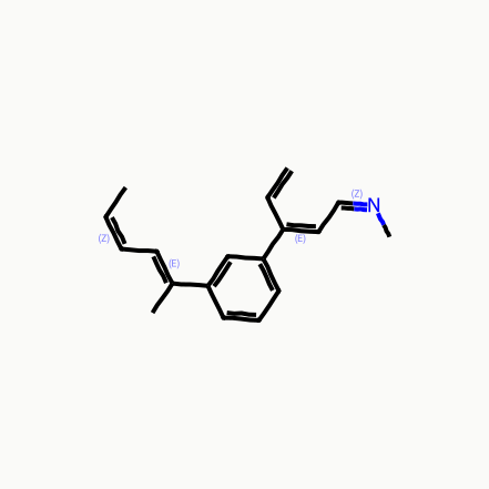 C=C/C(=C\C=N/C)c1cccc(/C(C)=C/C=C\C)c1